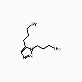 CC(C)CCCc1cnnn1CCCC(C)(C)C